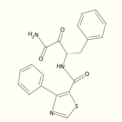 NC(=O)C(=O)[C@H](Cc1ccccc1)NC(=O)c1scnc1-c1ccccc1